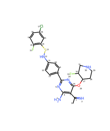 CC(=N)c1c(N)nc(-c2ccc(NSc3cc(Cl)ccc3F)cc2)nc1OC1CCNCC1F